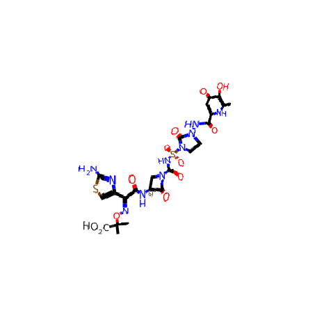 Cc1[nH]c(C(=O)NN2CCN(S(=O)(=O)NC(=O)N3C[C@H](NC(=O)C(=NOC(C)(C)C(=O)O)c4csc(N)n4)C3=O)C2=O)cc(=O)c1O